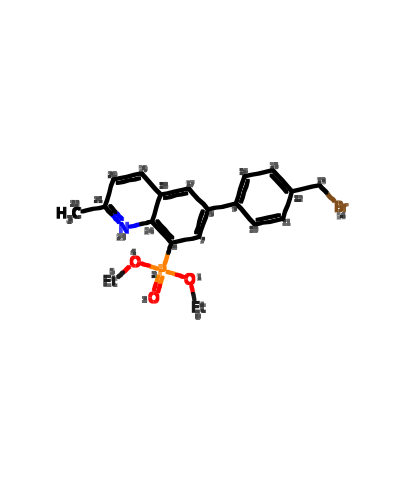 CCOP(=O)(OCC)c1cc(-c2ccc(CBr)cc2)cc2ccc(C)nc12